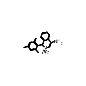 CCCN1C=C(N)c2ccccc2C1c1c(C)cc(C)cc1C